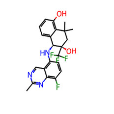 Cc1ncc2c(N[C@H]3c4cccc(O)c4C(C)(C)C[C@]3(O)C(F)(F)F)ccc(F)c2n1